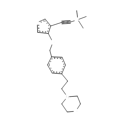 C[Si](C)(C)C#Cc1cscc1OCc1ccc(CCN2CCOCC2)cc1